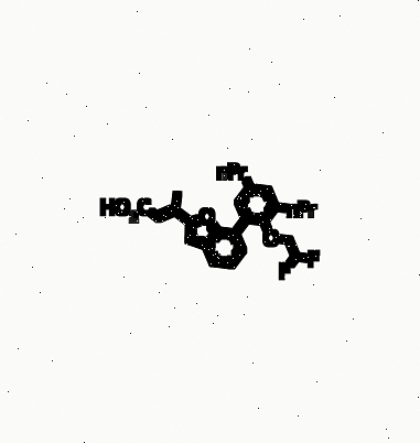 CCCc1cc(CCC)c(OCC(F)F)c(-c2cccc3cc(C(C)=CC(=O)O)oc23)c1